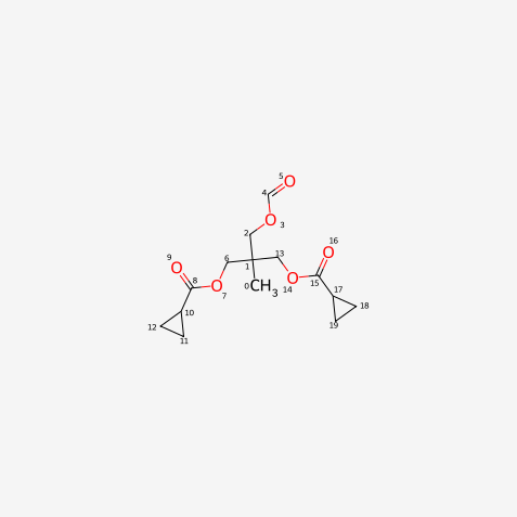 CC(COC=O)(COC(=O)C1CC1)COC(=O)C1CC1